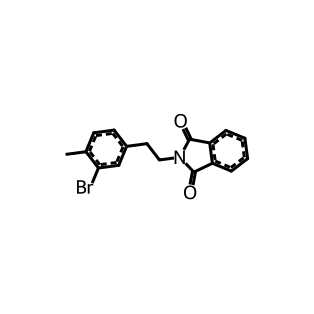 Cc1ccc(CCN2C(=O)c3ccccc3C2=O)cc1Br